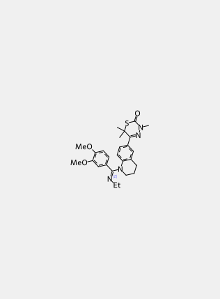 CC/N=C(/c1ccc(OC)c(OC)c1)N1CCCc2cc(C3=NN(C)C(=O)SC3(C)C)ccc21